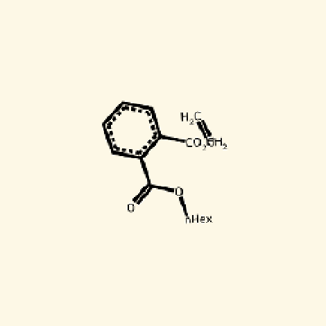 C=C.CCCCCCOC(=O)c1ccccc1C(=O)O